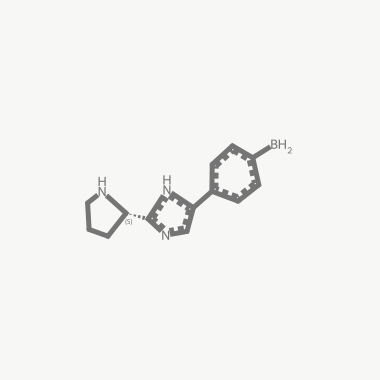 Bc1ccc(-c2cnc([C@@H]3CCCN3)[nH]2)cc1